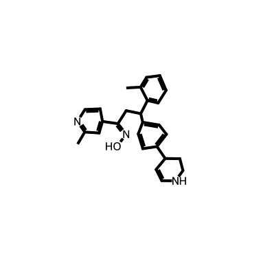 Cc1cc(C(CC(c2ccc(C3C=CNCC3)cc2)c2ccccc2C)=NO)ccn1